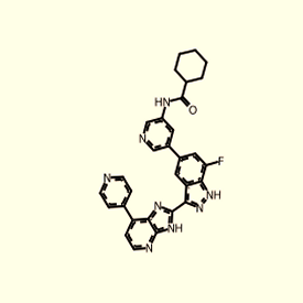 O=C(Nc1cncc(-c2cc(F)c3[nH]nc(-c4nc5c(-c6ccncc6)ccnc5[nH]4)c3c2)c1)C1CCCCC1